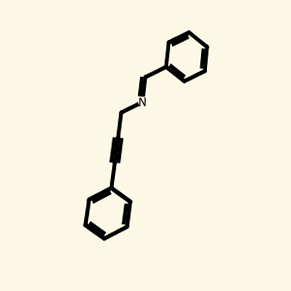 C(#Cc1ccccc1)C/N=C/c1ccccc1